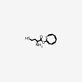 N[C@@H](CCS)C(=O)Oc1cccccccs1